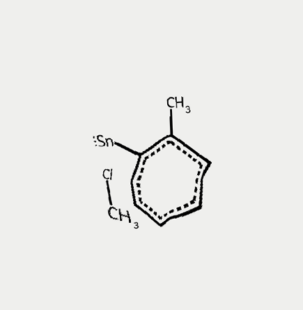 CCl.Cc1cccc[c]1[Sn]